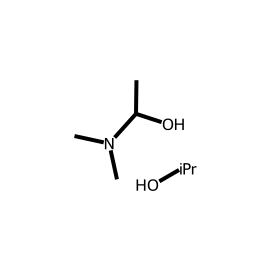 CC(C)O.CC(O)N(C)C